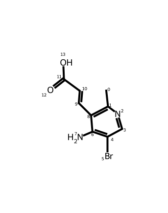 Cc1ncc(Br)c(N)c1C=CC(=O)O